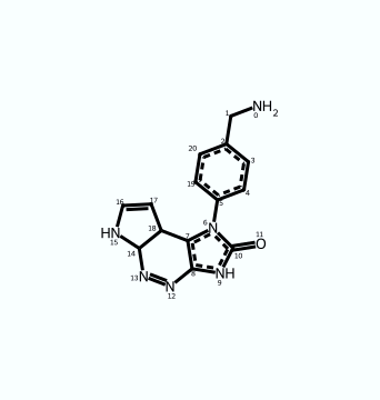 NCc1ccc(-n2c3c([nH]c2=O)N=NC2NC=CC32)cc1